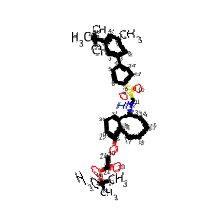 Cc1cc(-c2ccc(S(=O)(=O)CNC3CCCCc4c(OCC(=O)OC(C)(C)C)cccc43)cc2)cc(C(C)(C)C)c1